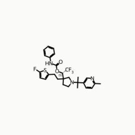 Cc1ccc(C(C)(C)N2CCC(CCc3ccc(F)s3)([C@H](OC(=O)Nc3ccccc3)C(F)(F)F)C2)cn1